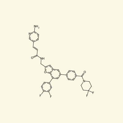 Nc1ccc(C=CC(=O)NCc2cc3cc(-c4ccc(C(=O)N5CCC(F)(F)CC5)cc4)cc(-c4ccc(F)c(F)c4)c3o2)cn1